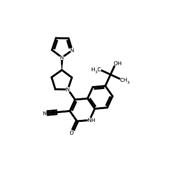 CC(C)(O)c1ccc2[nH]c(=O)c(C#N)c(N3CC[C@@H](n4cccn4)C3)c2c1